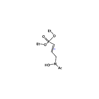 CCOP(=O)(/C=C/CN(O)C(C)=O)OCC